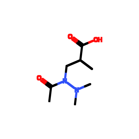 CC(=O)N(CC(C)C(=O)O)N(C)C